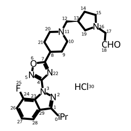 CC(C)c1nn(-c2noc(C3CCN(C[C@H]4CCN(CC=O)C4)CC3)n2)c2c(F)cccc12.Cl